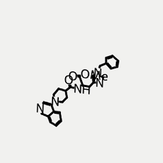 COC(=O)C(Cc1cn(Cc2ccccc2)cn1)NC(=O)C1CCN(c2cncc3ccccc23)CC1